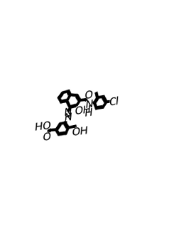 Cc1cc(Cl)ccc1NC(=O)c1cc2ccccc2c(/N=N/c2cc(C(=O)O)ccc2CO)c1O